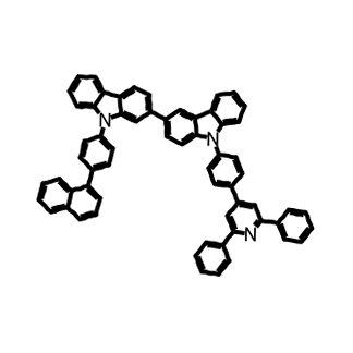 c1ccc(-c2cc(-c3ccc(-n4c5ccccc5c5cc(-c6ccc7c8ccccc8n(-c8ccc(-c9cccc%10ccccc9%10)cc8)c7c6)ccc54)cc3)cc(-c3ccccc3)n2)cc1